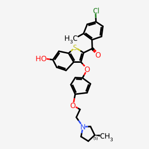 Cc1cc(Cl)ccc1C(=O)c1sc2cc(O)ccc2c1Oc1ccc(OCCN2CC[C@H](C)C2)cc1